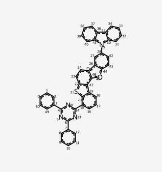 c1ccc(-c2nc(-c3ccccc3)nc(-c3cccc4c3sc3ccc5c6cc(-n7c8ccccc8c8ccccc87)ccc6oc5c34)n2)cc1